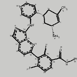 CC1=C[C@H](N)C[C@H](c2ccncc2Nc2ncc3ccc(-c4c(F)ccc(C(=O)NC(C)C)c4F)nn23)C1